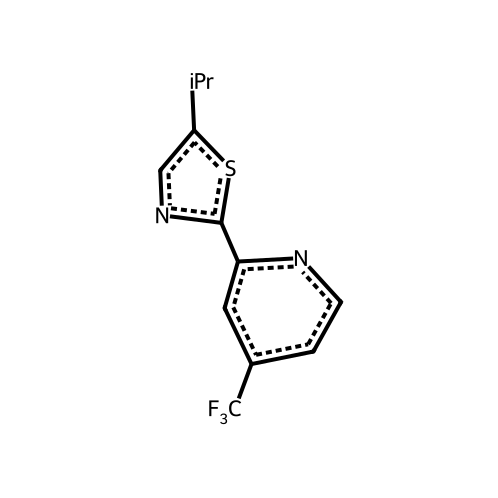 CC(C)c1cnc(-c2cc(C(F)(F)F)ccn2)s1